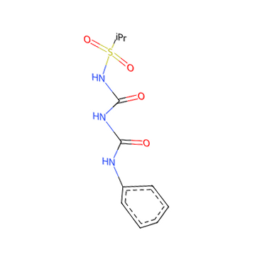 CC(C)S(=O)(=O)NC(=O)NC(=O)Nc1ccccc1